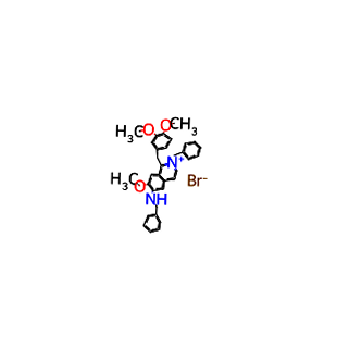 COc1cc2c(Cc3ccc(OC)c(OC)c3)[n+](Cc3ccccc3)ccc2cc1NCc1ccccc1.[Br-]